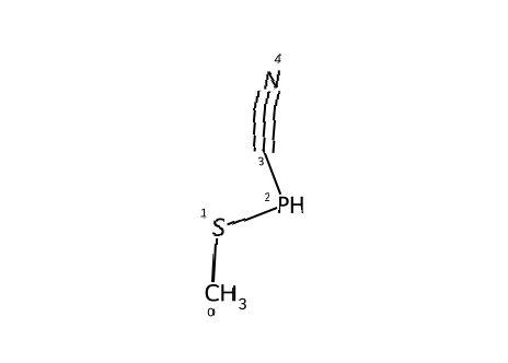 CSPC#N